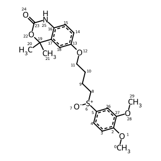 COc1ccc([S+]([O-])CCCCOc2ccc3c(c2)C(C)(C)OC(=O)N3)cc1OC